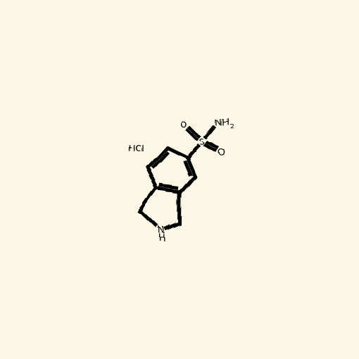 Cl.NS(=O)(=O)c1ccc2c(c1)CNC2